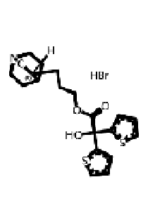 Br.O=C(OCCC[C@H]1CN2CCC1CC2)C(O)(c1cccs1)c1cccs1